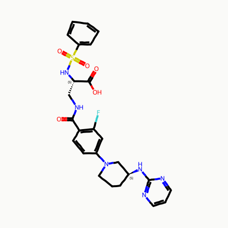 O=C(NC[C@H](NS(=O)(=O)c1ccccc1)C(=O)O)c1ccc(N2CCC[C@H](Nc3ncccn3)C2)cc1F